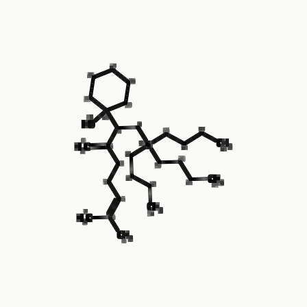 C=C(CCC=C(C)C)C(C[Si](CCCC)(CCCC)CCCC)C1(O)CCCCC1